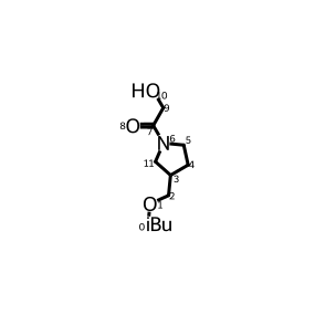 CCC(C)OCC1CCN(C(=O)CO)C1